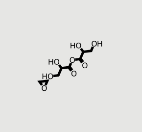 C1CO1.O=C(OC(=O)C(O)CO)C(O)CO